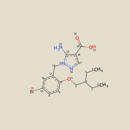 CCC(CC)COc1ccc(Br)cc1Cn1ncc(C(=O)O)c1N